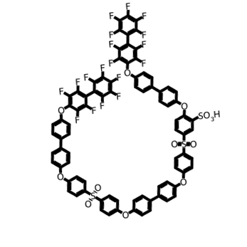 O=S(=O)(O)c1cc(S(=O)(=O)c2ccc(Oc3ccc(-c4ccc(Oc5ccc(S(=O)(=O)c6ccc(Oc7ccc(-c8ccc(Oc9c(F)c(F)c(-c%10c(F)c(F)c(F)c(F)c%10F)c(F)c9F)cc8)cc7)cc6)cc5)cc4)cc3)cc2)ccc1Oc1ccc(-c2ccc(Oc3c(F)c(F)c(-c4c(F)c(F)c(F)c(F)c4F)c(F)c3F)cc2)cc1